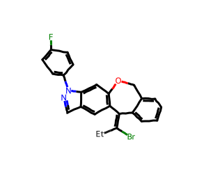 CCC(Br)=C1c2ccccc2COc2cc3c(cnn3-c3ccc(F)cc3)cc21